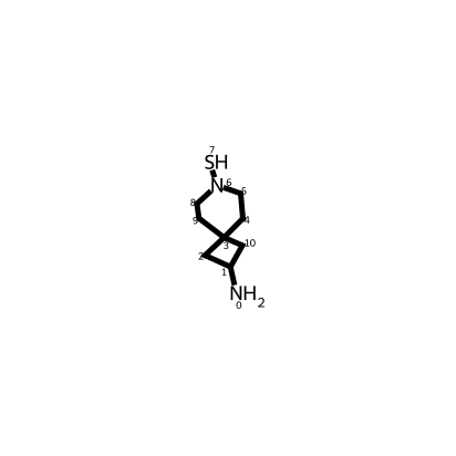 NC1CC2(CCN(S)CC2)C1